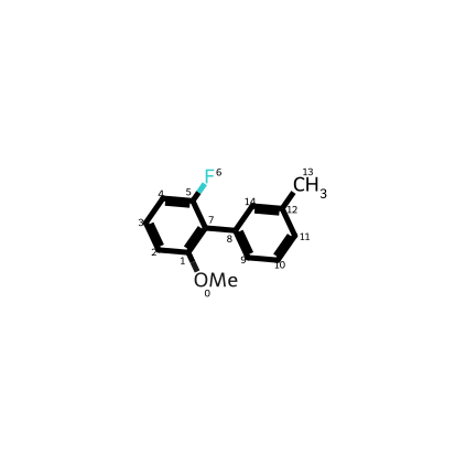 COc1cccc(F)c1-c1cccc(C)c1